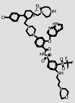 C[C@@]1(CN2CCCNCC2)CCC(c2ccc(Cl)cc2)=C(CN2CCN(c3ccc(C(=O)NS(=O)(=O)c4ccc(NCCCN5CCOCC5)c(S(=O)(=O)C(F)(F)F)c4)c(Oc4cnc5[nH]ccc5c4)c3)CC2)C1